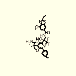 CCc1nc2c(OC)cc(C(=O)NC[C@](O)(c3cc4c(c(-c5ccc(F)cc5)n3)OC[C@]4(C)C(N)=O)C(F)(F)F)cc2s1